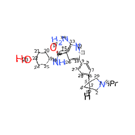 CC(C)N1C[C@@H]2C[C@]2(c2ccc(-c3cnc(N)c(C(=O)N[C@H]4CC[C@@H](O)CC4)c3)cc2)C1